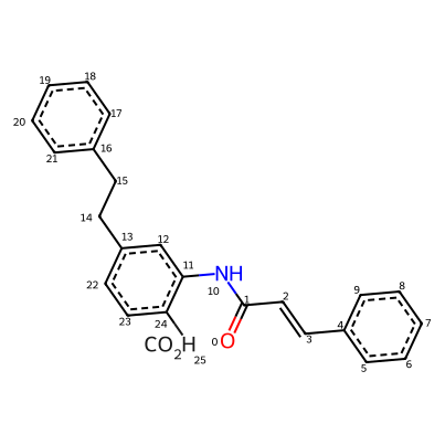 O=C(C=Cc1ccccc1)Nc1cc(CCc2ccccc2)ccc1C(=O)O